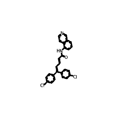 O=C(C=CC=C(c1ccc(Cl)cc1)c1ccc(Cl)cc1)Nc1cccc2cnccc12